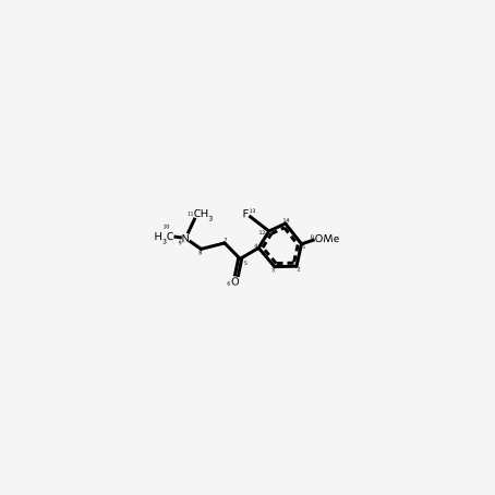 COc1ccc(C(=O)CCN(C)C)c(F)c1